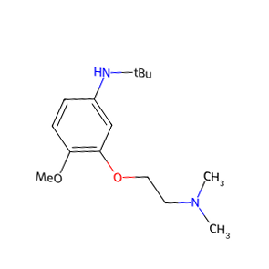 COc1ccc(NC(C)(C)C)cc1OCCN(C)C